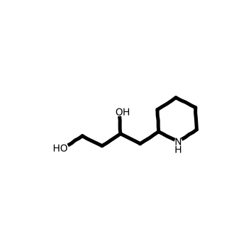 OCCC(O)CC1CCCCN1